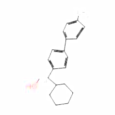 OC[C@H](c1ccc(-c2ccc(C(F)(F)F)cc2)cc1)C1CCCCC1